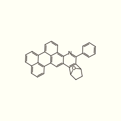 c1ccc(-c2nc3c(cc4c5cccc6cccc(c7cccc3c74)c65)c3c2C2CCC3O2)cc1